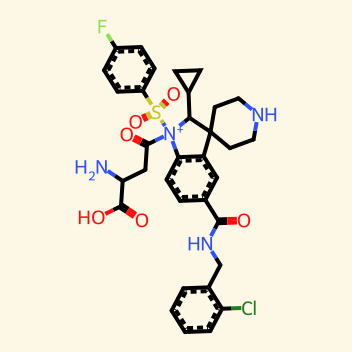 NC(CC(=O)[N+]1(S(=O)(=O)c2ccc(F)cc2)c2ccc(C(=O)NCc3ccccc3Cl)cc2C2(CCNCC2)C1C1CC1)C(=O)O